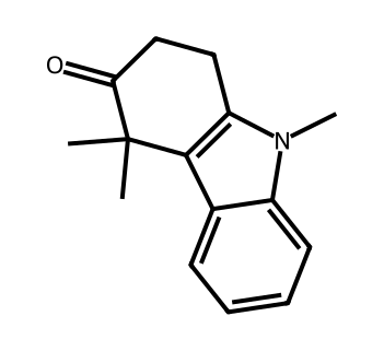 Cn1c2c(c3ccccc31)C(C)(C)C(=O)CC2